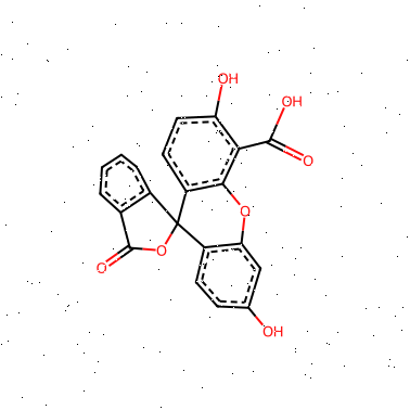 O=C1OC2(c3ccc(O)cc3Oc3c2ccc(O)c3C(=O)O)c2ccccc21